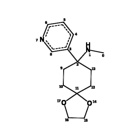 CNC1(c2cccnc2)CCC2(CC1)OCCO2